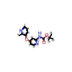 Cc1ncccc1Oc1ccnc(NC(=O)OC(C)(C)C)c1